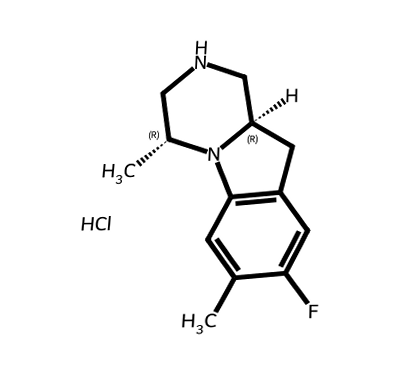 Cc1cc2c(cc1F)C[C@@H]1CNC[C@@H](C)N21.Cl